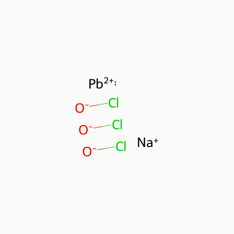 [Na+].[O-]Cl.[O-]Cl.[O-]Cl.[Pb+2]